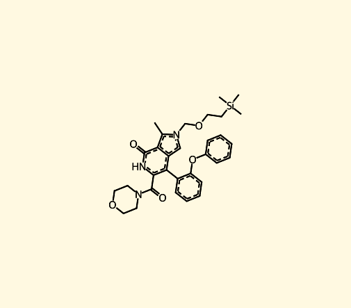 Cc1c2c(=O)[nH]c(C(=O)N3CCOCC3)c(-c3ccccc3Oc3ccccc3)c2cn1COCC[Si](C)(C)C